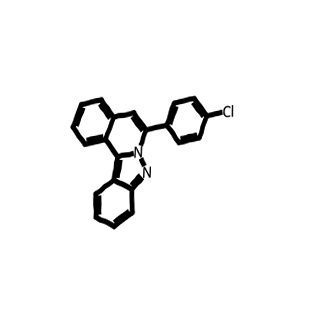 Clc1ccc(-c2cc3ccccc3c3c4ccccc4nn23)cc1